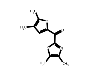 Cc1cc(C(=O)c2nc(C)c(C)s2)oc1C